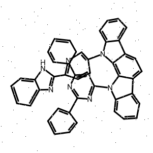 C1=CCC(c2nc(-c3ccccc3)nc(-n3c4ccccc4c4ccc5c6ccccc6n(-c6ccc(-c7nc8ccccc8[nH]7)nc6)c5c43)n2)C=C1